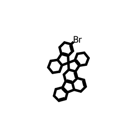 BrC1=CC2=C(CC1)C1CCCCC1C21C2=C(CCCC2)C2=C3C=CCC4C5=C(CCC=C5)C(=C34)CC21